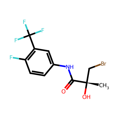 C[C@](O)(CBr)C(=O)Nc1ccc(F)c(C(F)(F)F)c1